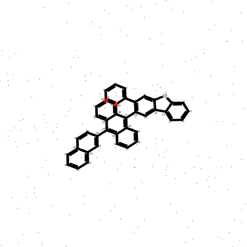 c1ccc(-c2cc3oc4ccccc4c3cc2-c2c3ccccc3c(-c3ccc4ccccc4c3)c3ccccc23)cc1